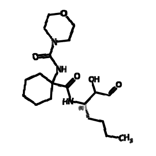 CCCC[C@H](NC(=O)C1(NC(=O)N2CCOCC2)CCCCC1)C(O)C=O